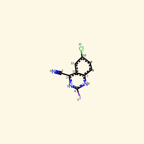 N#Cc1nc(I)nc2ccc(Cl)cc12